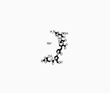 Cc1oc(=O)oc1COC(=O)N1CC(N2CC/C(=C\C3=C(C(=O)[O-])N4C(=O)[C@@H](NC(=O)/C(=N\O)c5nsc(N)n5)[C@H]4SC3)C2=O)CC1CO.[Na+]